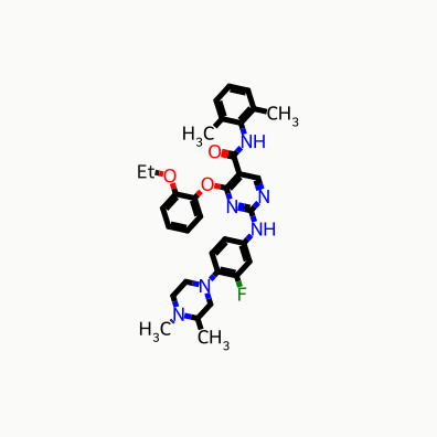 CCOc1ccccc1Oc1nc(Nc2ccc(N3CCN(C)C(C)C3)c(F)c2)ncc1C(=O)Nc1c(C)cccc1C